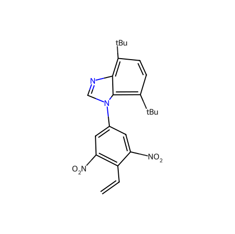 C=Cc1c([N+](=O)[O-])cc(-n2cnc3c(C(C)(C)C)ccc(C(C)(C)C)c32)cc1[N+](=O)[O-]